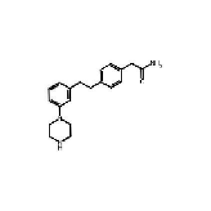 NC(=O)Cc1ccc(CCc2cccc(N3CCNCC3)c2)cc1